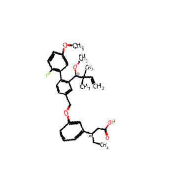 C=CC(C)(C)[C@H](OC)c1cc(COc2cccc([C@H](CC)CC(=O)O)c2)ccc1-c1cc(OC)ccc1F